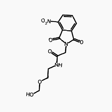 O=C(CN1C(=O)c2cccc([N+](=O)[O-])c2C1=O)NCCOCO